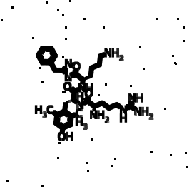 Cc1cc(O)cc(C)c1C[C@@H](NC(=O)[C@H](N)CCCNC(=N)N)C(=O)N[C@H](CCCCN)c1nc(Cc2ccccc2)no1